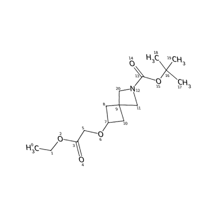 CCOC(=O)COC1CC2(C1)CN(C(=O)OC(C)(C)C)C2